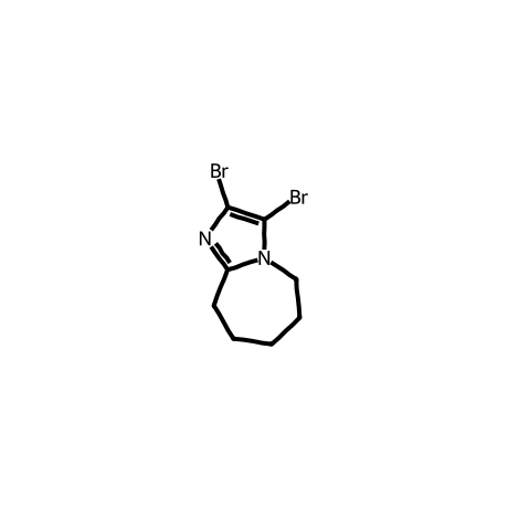 Brc1nc2n(c1Br)CCCCC2